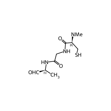 CN[C@@H](CS)C(=O)NCC(=O)N[C@@H](C)C=O